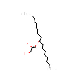 CCCCCCCCCCCCCCCCCC(CCCCCCCCCCCCCCCCC)OCC(O)CO